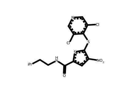 CC(C)CCNC(=O)c1cc([N+](=O)[O-])c(Sc2c(Cl)cncc2Cl)s1